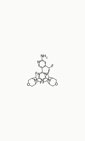 Nc1cc(C(F)F)c(-c2nc(N3C4COCC3C(F)C4F)nc(N3C4COCC3C(F)C4F)n2)cn1